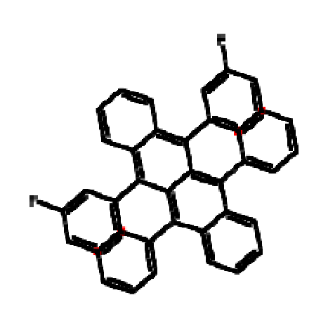 Fc1cccc(-c2c3ccccc3c(-c3cccc(F)c3)c3c(-c4ccccc4)c4ccccc4c(-c4ccccc4)c23)c1